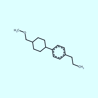 CCCc1ccc(C2CCC(COC)CC2)cc1